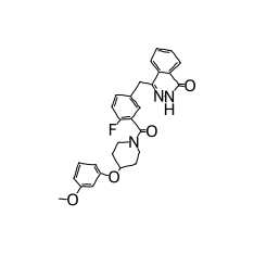 COc1cccc(OC2CCN(C(=O)c3cc(Cc4n[nH]c(=O)c5ccccc45)ccc3F)CC2)c1